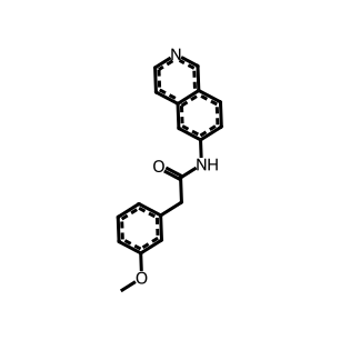 COc1cccc(CC(=O)Nc2ccc3cnccc3c2)c1